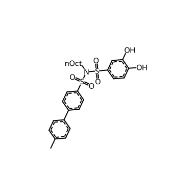 CCCCCCCCN(S(=O)(=O)c1ccc(-c2ccc(C)cc2)cc1)S(=O)(=O)c1ccc(O)c(O)c1